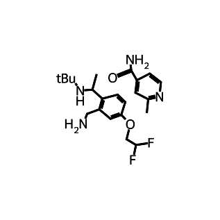 CC(NC(C)(C)C)c1ccc(OCC(F)F)cc1CN.Cc1cc(C(N)=O)ccn1